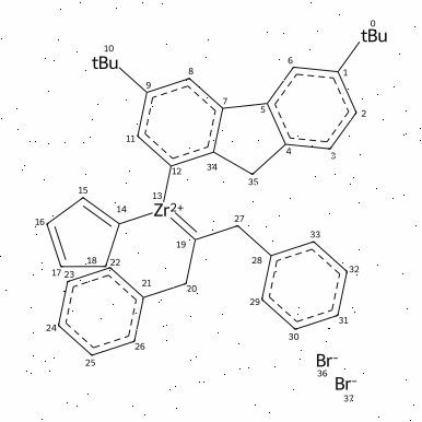 CC(C)(C)c1ccc2c(c1)-c1cc(C(C)(C)C)c[c]([Zr+2]([C]3=CC=CC3)=[C](Cc3ccccc3)Cc3ccccc3)c1C2.[Br-].[Br-]